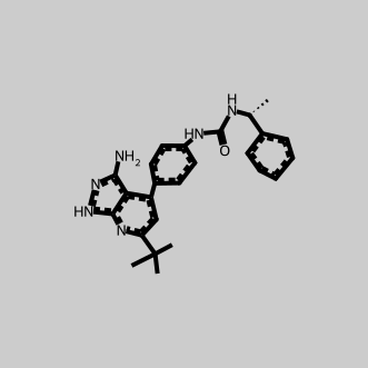 C[C@@H](NC(=O)Nc1ccc(-c2cc(C(C)(C)C)nc3[nH]nc(N)c23)cc1)c1ccccc1